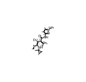 C=N/C(NC1(C)CC1)=C(\CC)C(C(=O)Nc1ccn(C(C)C)n1)=C(C)C